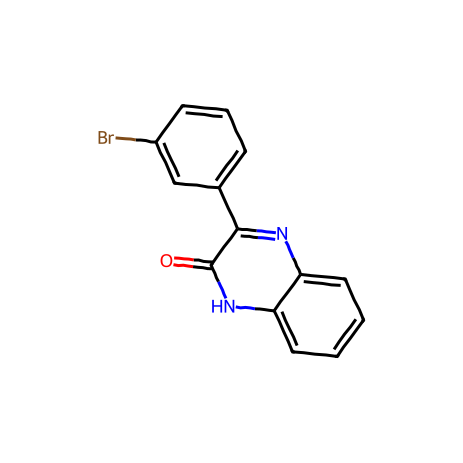 O=c1[nH]c2ccccc2nc1-c1cccc(Br)c1